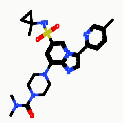 Cc1ccc(-c2cnc3c(N4CCN(C(=O)N(C)C)CC4)cc(S(=O)(=O)NC4(C)CC4)cn23)nc1